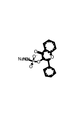 O=c1c(OP(=O)([O-])[O-])c(-c2ccccc2)oc2ccccc12.[Na+].[Na+]